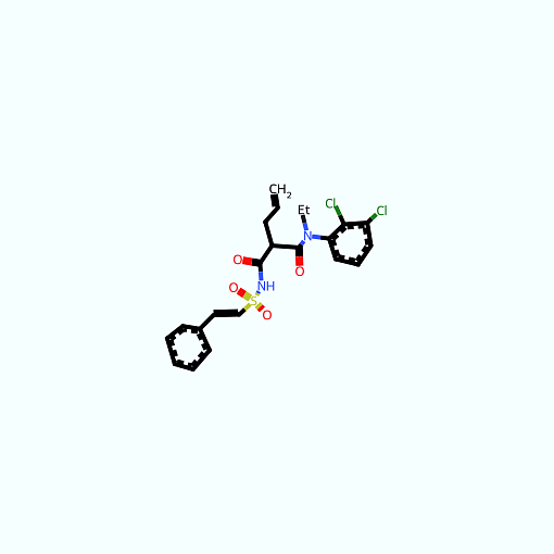 C=CCC(C(=O)NS(=O)(=O)C=Cc1ccccc1)C(=O)N(CC)c1cccc(Cl)c1Cl